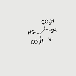 O=C(O)C(S)C(S)C(=O)O.[V]